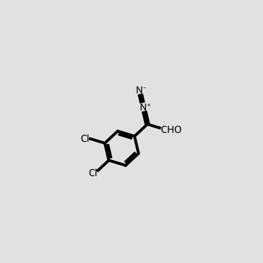 [N-]=[N+]=C(C=O)c1ccc(Cl)c(Cl)c1